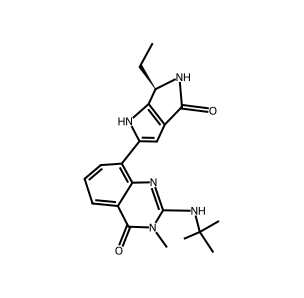 CC[C@H]1NC(=O)c2cc(-c3cccc4c(=O)n(C)c(NC(C)(C)C)nc34)[nH]c21